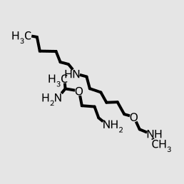 CC(N)OCCCN.CCCCCCNCCCCCCOCNC